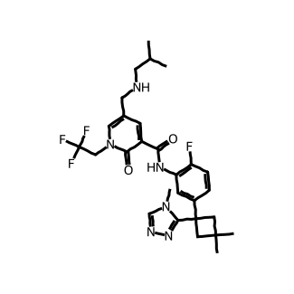 CC(C)CNCc1cc(C(=O)Nc2cc(C3(c4nncn4C)CC(C)(C)C3)ccc2F)c(=O)n(CC(F)(F)F)c1